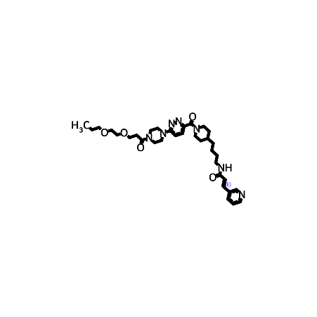 CCCOCCOCCC(=O)N1CCN(c2ccc(C(=O)N3CCC(CCCCNC(=O)/C=C/c4cccnc4)CC3)nn2)CC1